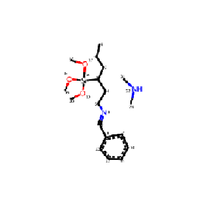 CCCC(CCN=Cc1ccccc1)[Si](OC)(OC)OC.CNC